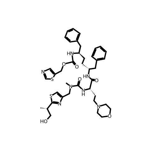 C[C@@H](CO)c1nc(CN(C)C(=O)N[C@@H](CCN2CCOCC2)C(=O)N[C@H](CC[C@H](Cc2ccccc2)NC(=O)OCc2cncs2)Cc2ccccc2)cs1